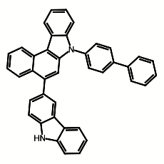 c1ccc(-c2ccc(-n3c4ccccc4c4c5ccccc5c(-c5ccc6[nH]c7ccccc7c6c5)cc43)cc2)cc1